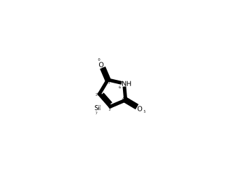 O=C1C=CC(=O)N1.[Si]